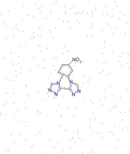 O=[N+]([O-])c1ccc2c(c1)n1cnnc1c1nncn21